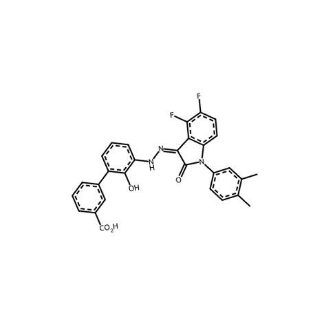 Cc1ccc(N2C(=O)/C(=N\Nc3cccc(-c4cccc(C(=O)O)c4)c3O)c3c2ccc(F)c3F)cc1C